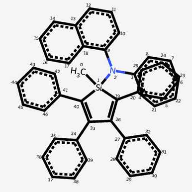 C[Si]1(N(c2ccccc2)c2cccc3ccccc23)C(c2ccccc2)=C(c2ccccc2)C(c2ccccc2)=C1c1ccccc1